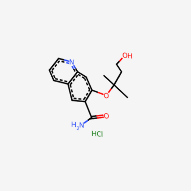 CC(C)(CCO)Oc1cc2ncccc2cc1C(N)=O.Cl